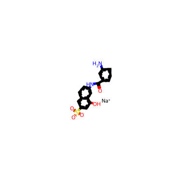 Nc1cccc(C(=O)Nc2ccc3cc(S(=O)(=O)[O-])cc(O)c3c2)c1.[Na+]